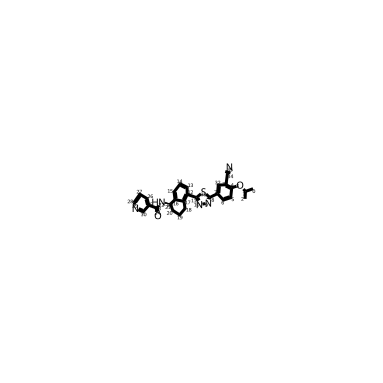 CC(C)Oc1ccc(-c2nnc(-c3cccc4c3CCC[C@H]4NC(=O)c3cccnc3)s2)cc1C#N